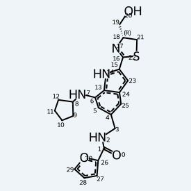 O=C(NCc1cc(NC2CCCC2)c2[nH]c(C3=N[C@H](CO)CS3)cc2c1)c1ccco1